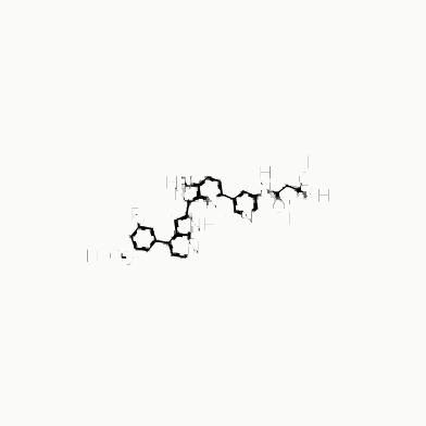 COc1cc(F)cc(-c2ccnc3[nH]c(-c4n[nH]c5ccc(-c6cncc(NC(=O)CC(C)(C)C)c6)nc45)cc23)c1